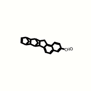 O=Cc1ccc2c3c(ccc2c1)C1C(C3)C2CC1C1C3C=CC(C3)C21